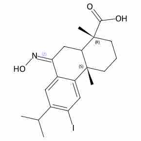 CC(C)c1cc2c(cc1I)[C@@]1(C)CCC[C@@](C)(C(=O)O)C1C/C2=N/O